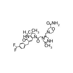 C[C@@H]1CN(CC(=O)N2CC(C)(C)c3[nH]c(=O)c(Cc4ccc(C(F)F)cc4)cc32)[C@@H](CN2CCOC(C(N)=O)C2)CN1